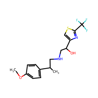 COc1ccc(C(C)CNCC(O)c2csc(C(F)(F)F)n2)cc1